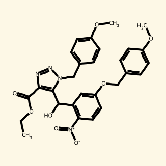 CCOC(=O)c1nnn(Cc2ccc(OC)cc2)c1C(O)c1cc(OCc2ccc(OC)cc2)ccc1[N+](=O)[O-]